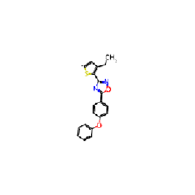 CCc1c[c]sc1-c1noc(-c2ccc(Oc3ccccc3)cc2)n1